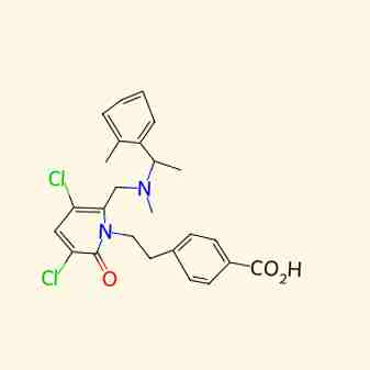 Cc1ccccc1C(C)N(C)Cc1c(Cl)cc(Cl)c(=O)n1CCc1ccc(C(=O)O)cc1